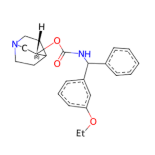 CCOc1cccc(C(NC(=O)O[C@H]2CN3CCC2CC3)c2ccccc2)c1